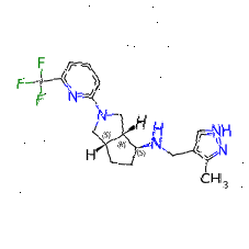 Cc1n[nH]cc1CN[C@H]1CC[C@@H]2CN(c3cccc(C(F)(F)F)n3)C[C@@H]21